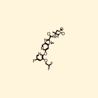 Cn1c(C(=O)NC2(C)CS(=O)(=O)C2)nc2cnc(Oc3ncc(F)cc3OCC(F)F)cc21